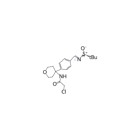 CC(C)(C)[S@+]([O-])/N=C/c1ccc(C2(NC(=O)CCl)CCOCC2)cc1